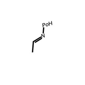 CC=[N][PoH]